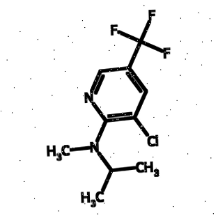 CC(C)N(C)c1ncc(C(F)(F)F)cc1Cl